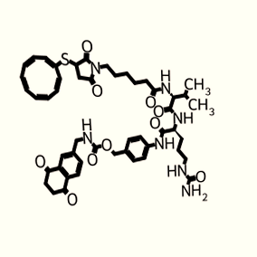 CC(C)[C@H](NC(=O)CCCCCN1C(=O)CC(Sc2ccccccccc2)C1=O)C(=O)N[C@@H](CCCNC(N)=O)C(=O)Nc1ccc(COC(=O)NCc2ccc3c(c2)C(=O)CCC3=O)cc1